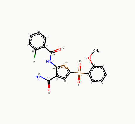 COc1ccccc1S(=O)(=O)c1cc(C(N)=O)c(NC(=O)c2ccccc2F)s1